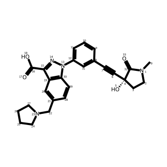 CN1CC[C@@](O)(C#Cc2cccc(-n3nc(C(=O)O)c4cc(CN5CCCC5)ccc43)c2)C1=O